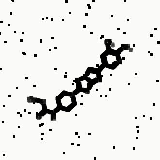 CC(C)(C)OC(=O)NC1CCN(c2nn3cc(-c4cnc(N)c(C(F)(F)F)c4)nc3s2)CC1